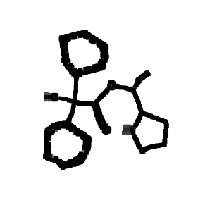 C[C@H](OC(=O)C(O)(c1ccccc1)c1ccccc1)C1CCCN1